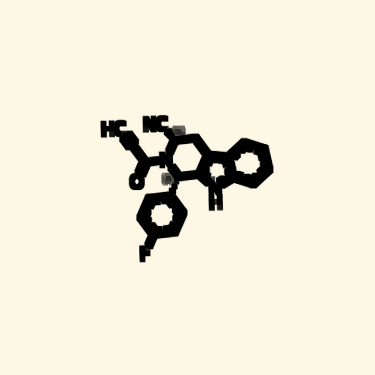 C#CC(=O)N1[C@@H](c2ccc(F)cc2)c2[nH]c3ccccc3c2C[C@@H]1C#N